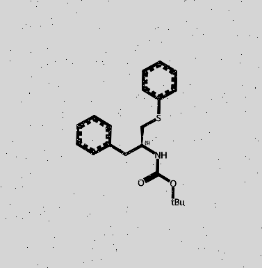 CC(C)(C)OC(=O)N[C@H](CSc1ccccc1)Cc1ccccc1